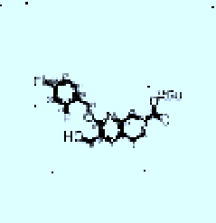 CC(C)(C)OC(=O)N1CCc2cc(CO)c(OCc3ccc(Cl)cc3F)nc2C1